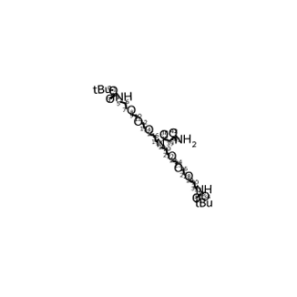 CC(C)(C)OC(=O)NCCCOCCOCCOCCCN(CCCOCCOCCOCCCNC(=O)OC(C)(C)C)C(=O)CC(N)=O